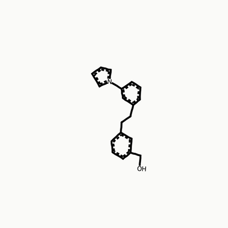 OCc1cccc(CCc2cccc(-n3cccc3)c2)c1